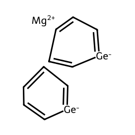 C1=C[CH]=[Ge-][CH]=C1.C1=C[CH]=[Ge-][CH]=C1.[Mg+2]